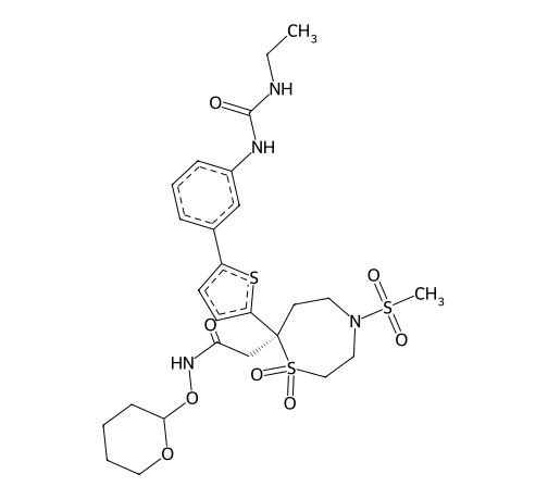 CCNC(=O)Nc1cccc(-c2ccc([C@@]3(CC(=O)NOC4CCCCO4)CCN(S(C)(=O)=O)CCS3(=O)=O)s2)c1